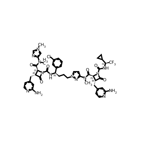 CN(C(=O)[C@@H]1[C@@H](Cc2ccnc(N)c2)C(=O)N1C(=O)N[C@H](CCCn1ccc(N(C)C(=O)[C@@H]2[C@@H](Cc3ccnc(N)c3)C(=O)N2C(=O)N[C@@H](C2CC2)C(F)(F)F)n1)c1cccc(Cl)c1)c1cn(C)cn1